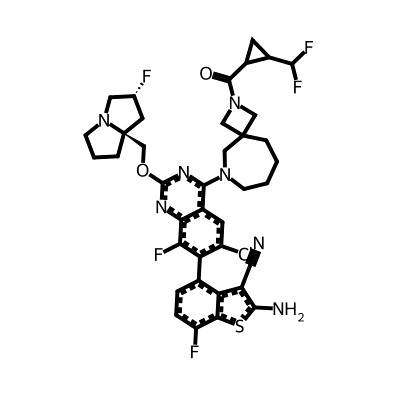 N#Cc1c(N)sc2c(F)ccc(-c3c(Cl)cc4c(N5CCCCC6(CN(C(=O)C7CC7C(F)F)C6)C5)nc(OC[C@@]56CCCN5C[C@H](F)C6)nc4c3F)c12